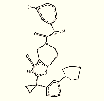 O=C([C@H](O)c1cccc(Cl)c1)N1CCCc2nc(C3(c4cccc(C5CCCCC5)c4)CC3)[nH]c(=O)c2C1